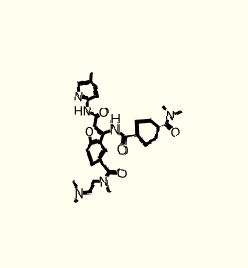 Cc1ccc(NC(=O)c2oc3ccc(C(=O)N(C)CCN(C)C)cc3c2NC(=O)[C@H]2CC[C@H](C(=O)N(C)C)CC2)nc1